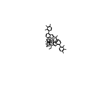 CCC(C)C1=Cc2c(-c3ccc(C)c(C)c3C)cccc2[CH]1[Zr]([Cl])([Cl])([BH]N([Si](C)(C)C)[Si](C)(C)C)[CH]1C(C(C)CC)=Cc2c(-c3ccc(C)c(C)c3C)cccc21